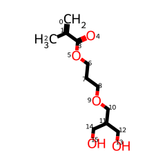 C=C(C)C(=O)OCCCOCC(CO)CO